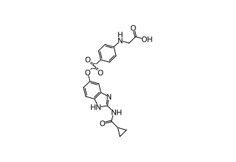 O=C(O)CNc1ccc(S(=O)(=O)Oc2ccc3[nH]c(NC(=O)C4CC4)nc3c2)cc1